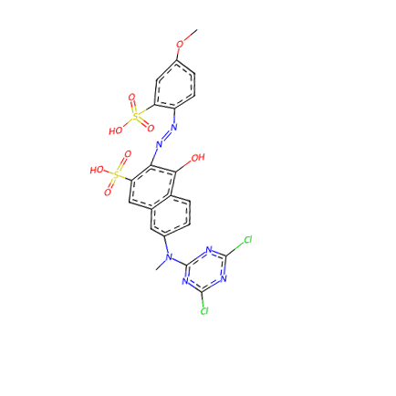 COc1ccc(N=Nc2c(S(=O)(=O)O)cc3cc(N(C)c4nc(Cl)nc(Cl)n4)ccc3c2O)c(S(=O)(=O)O)c1